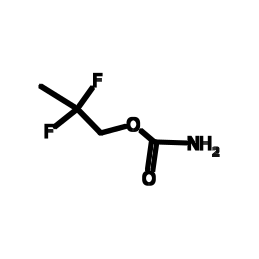 CC(F)(F)COC(N)=O